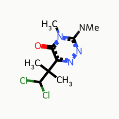 CNc1nnc(C(C)(C)C(Cl)Cl)c(=O)n1C